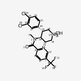 CN(C(=O)c1ccc(C(F)(F)F)cn1)[C@@H]1CCNC[C@H]1c1ccc(Cl)c(Cl)c1.Cl